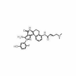 CN(C)C/C=C/C(=O)Nc1cccc2c1CCc1[nH]c(=O)c3c(N)n(-c4cc(O)ccc4F)nc3c1-2